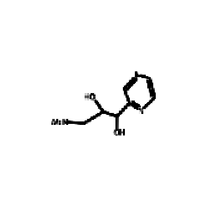 CNCC(O)C(O)c1cnccn1